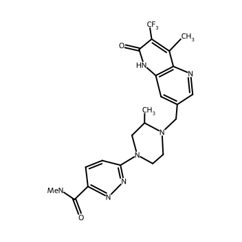 CNC(=O)c1ccc(N2CCN(Cc3cnc4c(C)c(C(F)(F)F)c(=O)[nH]c4c3)C(C)C2)nn1